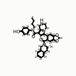 CCCCN(C(=O)c1cc(-c2cc3c(cc2C(=O)N2Cc4ccccc4C[C@H]2C)OCO3)n2c1CNCC2)c1ccc(O)cc1